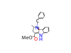 COC(=O)C1=C2Nc3ccccc3C23CCN(Cc2ccccc2)C3C(C)C1